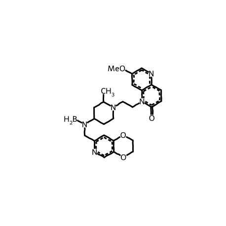 BN(Cc1cc2c(cn1)OCCO2)C1CCN(CCn2c(=O)ccc3ncc(OC)cc32)C(C)C1